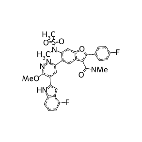 CNC(=O)c1c(-c2ccc(F)cc2)oc2cc(N(C)S(C)(=O)=O)c(-c3cc(-c4cc5c(F)cccc5[nH]4)c(OC)nn3)cc12